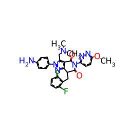 COc1ccc(N2C(=O)c3c(nn(-c4ccc(N)cc4)c3CN(C)C)C(Cc3c(F)cccc3F)C2=O)nn1